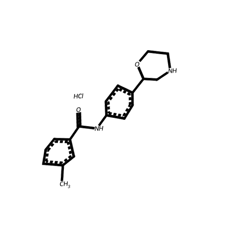 Cc1cccc(C(=O)Nc2ccc(C3CNCCO3)cc2)c1.Cl